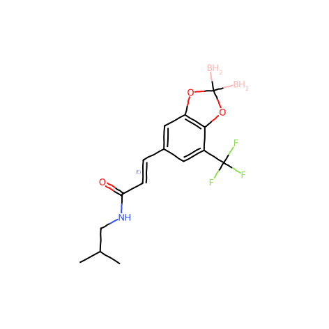 BC1(B)Oc2cc(/C=C/C(=O)NCC(C)C)cc(C(F)(F)F)c2O1